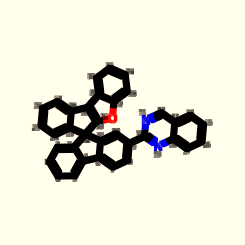 c1ccc2c(c1)-c1ccc(-c3ncc4ccccc4n3)cc1C21c2ccccc2-c2c1oc1ccccc21